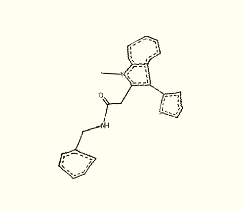 Cn1c(CC(=O)NCc2ccccc2)c(-c2cccs2)c2ccccc21